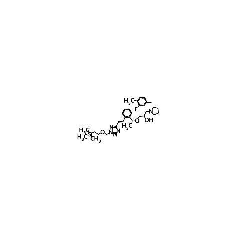 Cc1ccc(C[C@@H]2CCCN2C[C@@H](O)CO[C@H](C)c2ccccc2C=Cc2nnn(COCC[Si](C)(C)C)n2)cc1F